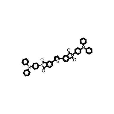 O=C1c2ccc(-c3ccc(-c4ccc5c(c4)C(=O)N(c4ccc(N(c6ccccc6)c6ccccc6)cc4)C5=O)s3)cc2C(=O)N1c1ccc(N(c2ccccc2)c2ccccc2)cc1